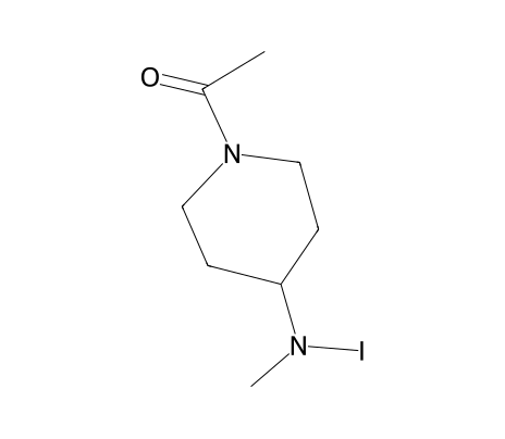 CC(=O)N1CCC(N(C)I)CC1